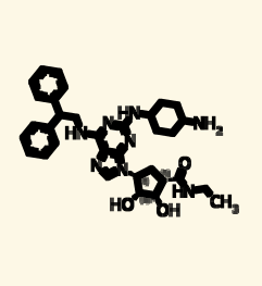 CCNC(=O)[C@H]1C[C@@H](n2cnc3c(NCC(c4ccccc4)c4ccccc4)nc(NC4CCC(N)CC4)nc32)[C@H](O)[C@@H]1O